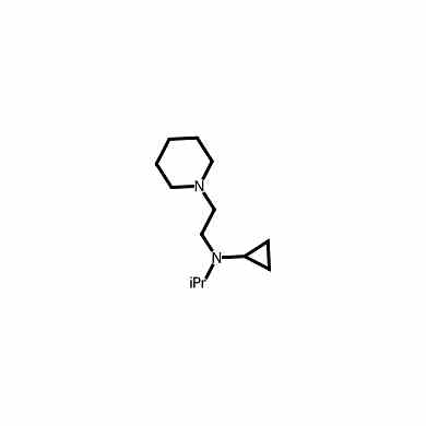 CC(C)N(CCN1CCCCC1)C1CC1